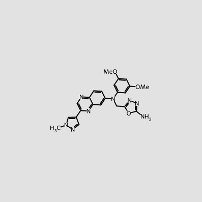 COc1cc(OC)cc(N(Cc2nnc(N)o2)c2ccc3ncc(-c4cnn(C)c4)nc3c2)c1